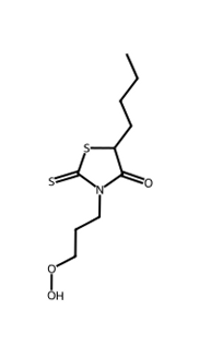 CCCCC1SC(=S)N(CCCOO)C1=O